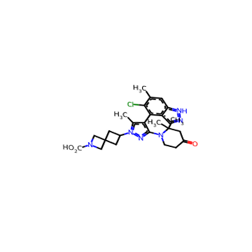 Cc1cc2[nH]ncc2c(-c2c(N3CCC(=O)CC3(C)C)nn(C3CC4(C3)CN(C(=O)O)C4)c2C)c1Cl